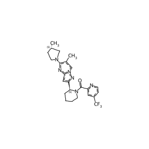 Cc1cn2nc([C@@H]3CCCCN3C(=O)c3cc(C(F)(F)F)ccn3)cc2nc1N1CC[C@H](C)C1